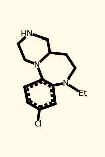 CCN1CCC2CNCCN2c2ccc(Cl)cc21